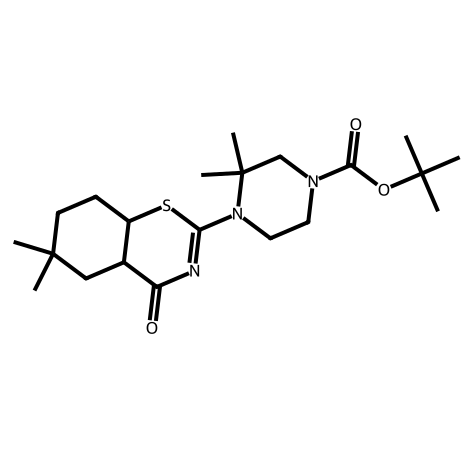 CC1(C)CCC2SC(N3CCN(C(=O)OC(C)(C)C)CC3(C)C)=NC(=O)C2C1